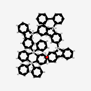 c1ccc(-c2ccccc2-n2c3ccc(-n4c5ccccc5c5ccccc54)cc3c3cc(-n4c5ccccc5c5ccc([Si]6(c7ccccc7)c7ccccc7[Si](c7ccccc7)(c7ccccc7)c7ccccc76)cc54)ccc32)cc1